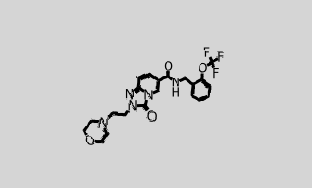 O=C(NCc1ccccc1OC(F)(F)F)c1ccc2nn(CCN3CCOCC3)c(=O)n2c1